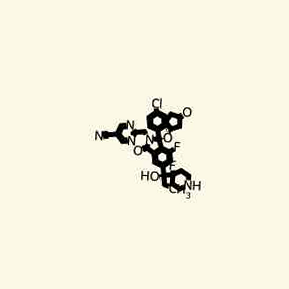 CC[C@](O)(c1cc(F)c2c(c1)C(=O)N(Cc1ncc(C#N)cn1)[C@@]2(O[C@H]1CCC(=O)C1)c1ccc(Cl)cc1)C1(F)CCNCC1